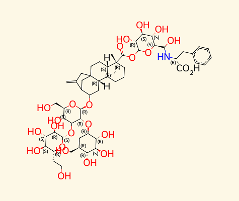 C=C1CC23CC[C@H]4[C@@](C)(CCC[C@@]4(C)C(=O)OC4O[C@H](C(O)N[C@H](Cc5ccccc5)C(=O)O)[C@@H](O)[C@H](O)[C@H]4O)[C@@H]2CC(O[C@@H]2O[C@H](CO)[C@@H](O)C(O[C@@H]4O[C@H](CCO)[C@@H](O)[C@H](O)[C@H]4O)[C@H]2O[C@@H]2C[C@H](CO)[C@@H](O)[C@H](O)[C@H]2O)C1C3